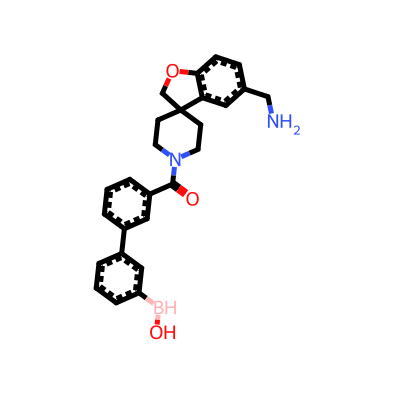 NCc1ccc2c(c1)C1(CCN(C(=O)c3cccc(-c4cccc(BO)c4)c3)CC1)CO2